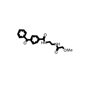 COCC(=O)NCCNC(=O)c1ccc(C(=O)c2ccccc2)cc1